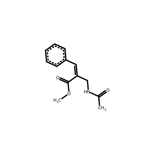 COC(=O)C(=Cc1ccccc1)CNC(C)=O